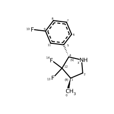 C[C@@H]1CN[C@@H](c2cccc(F)c2)C1(F)F